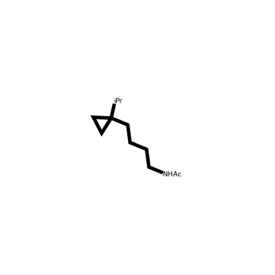 CC(=O)NCCCCC1(C(C)C)CC1